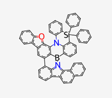 c1ccc([Si]2(c3ccccc3)c3ccccc3N3c4c(cccc42)B2c4c(cc5c(oc6ccccc65)c43)-c3cccc4c5ccc6ccccc6c5n2c34)cc1